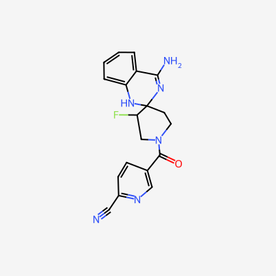 N#Cc1ccc(C(=O)N2CCC3(N=C(N)c4ccccc4N3)C(F)C2)cn1